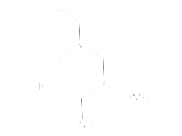 CO[C@@H](CC(=O)OC(C)(C)C)[C@H](N)C(=O)O